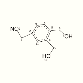 N#CCc1ccc(CO)c(CO)c1